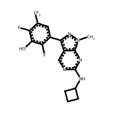 Cn1nc(-c2cc(C(F)(F)F)c(F)c(O)c2F)c2cnc(NC3CCC3)nc21